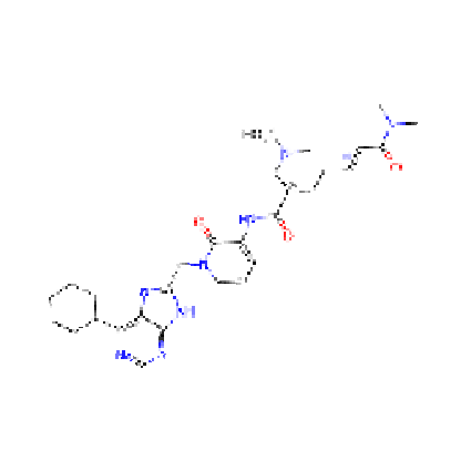 CN(C)C(=O)/C=C/CC[C@@H](CN(C)C(=O)O)C(=O)Nc1cccn(Cc2nc3c(C4CCCCC4)ncnc3[nH]2)c1=O